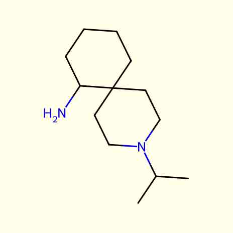 CC(C)N1CCC2(CCCCC2N)CC1